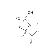 CC1CCC(C(=O)O)C1(C)C